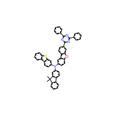 CC1(C)c2ccccc2-c2ccc(N(c3ccc4c(c3)sc3ccccc34)c3ccc4oc5cc(-c6nc(-c7ccccc7)nc(-c7ccccc7)n6)ccc5c4c3)cc21